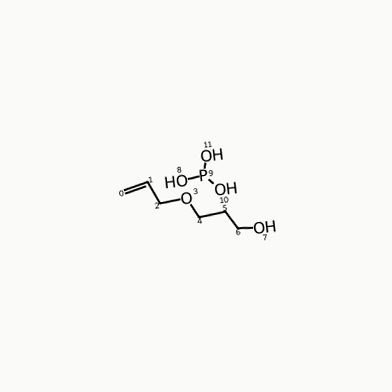 C=CCOCCCO.OP(O)O